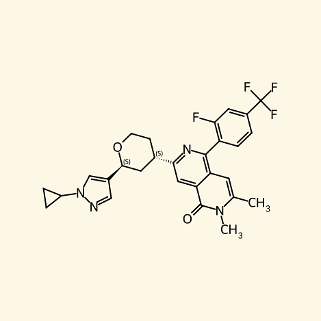 Cc1cc2c(-c3ccc(C(F)(F)F)cc3F)nc([C@H]3CCO[C@H](c4cnn(C5CC5)c4)C3)cc2c(=O)n1C